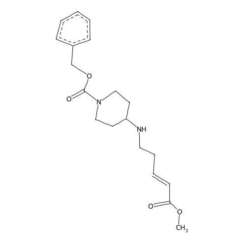 COC(=O)C=CCCNC1CCN(C(=O)OCc2ccccc2)CC1